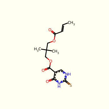 CC=CC(=O)OCC(C)(C)COC(=O)c1c[nH]c(=S)[nH]c1=O